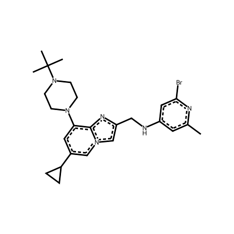 Cc1cc(NCc2cn3cc(C4CC4)cc(N4CCN(C(C)(C)C)CC4)c3n2)cc(Br)n1